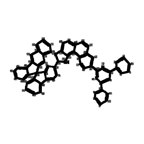 c1ccc(-c2cc(-c3ccccc3)nc(-c3ccc4c(ccc5ccc6c(c54)NC(c4ccc5c(c4)C4(c7ccccc7-5)c5ccccc5-c5cc7ccccc7cc54)S6)c3)n2)cc1